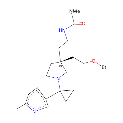 CCOCC[C@]1(CCNC(=O)NC)CCN(C2(c3ccc(C)nc3)CC2)C1